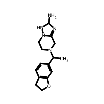 CC(c1ccc2c(c1)OCC2)N1CCN2NC(N)N=C2C1